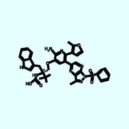 Cc1occc1-c1nc(N)c(OC[C@@](Cc2c[nH]c3ccccc23)(NC(=O)O)C(C)(C)C)cc1-c1cnc2c(n1)c(C)nn2S(=O)(=O)c1ccccc1